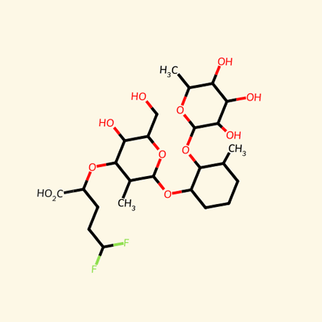 CC1CCCC(OC2OC(CO)C(O)C(OC(CCC(F)F)C(=O)O)C2C)C1OC1OC(C)C(O)C(O)C1O